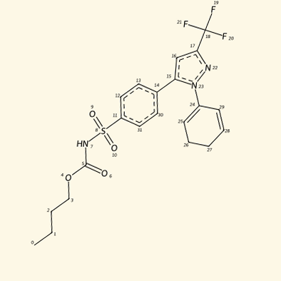 CCCCOC(=O)NS(=O)(=O)c1ccc(-c2cc(C(F)(F)F)nn2C2=CCCC=C2)cc1